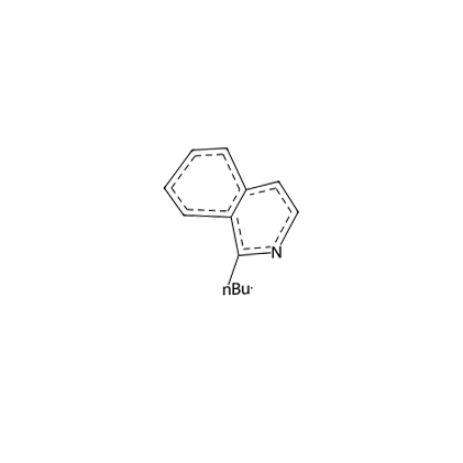 CCC[CH]c1nccc2ccccc12